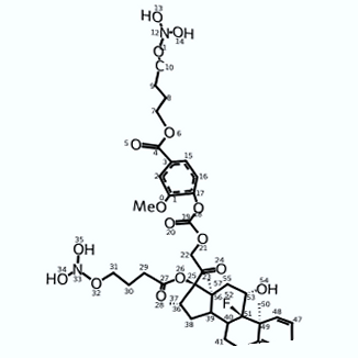 COc1cc(C(=O)OCCCCON(O)O)ccc1OC(=O)OCC(=O)[C@@]1(OC(=O)CCCON(O)O)[C@@H](C)CC2C3CCC4=CC(=O)C=C[C@]4(C)[C@@]3(F)[C@@H](O)C[C@@]21C